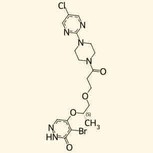 C[C@@H](COCCC(=O)N1CCN(c2ncc(Cl)cn2)CC1)Oc1cn[nH]c(=O)c1Br